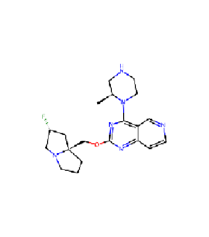 C[C@H]1CNCCN1c1nc(OC[C@@]23CCCN2C[C@H](F)C3)nc2ccncc12